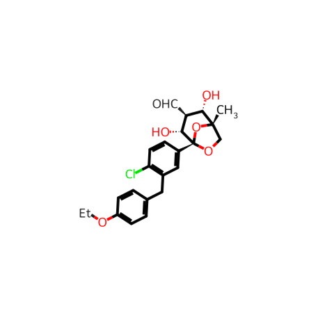 CCOc1ccc(Cc2cc([C@]34OC[C@](C)(O3)[C@@H](O)[C@H](C=O)[C@H]4O)ccc2Cl)cc1